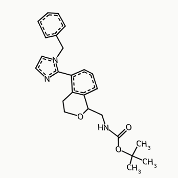 CC(C)(C)OC(=O)NCC1OCCc2c(-c3nccn3Cc3ccccc3)cccc21